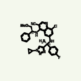 B[C@](Nc1cc(Cl)c2ncc(C#N)c(N[C@H](COC)c3ccccc3)c2c1)(c1ccc(F)cc1)c1cn(C2CC2)nn1